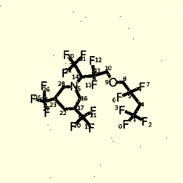 FC(F)(F)CC(F)(F)COCC(F)(F)C(N1CC(C(F)(F)F)CC(C(F)(F)F)C1)C(F)(F)F